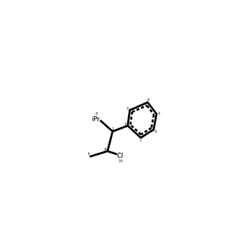 CC(C)C(c1ccccc1)C(C)Cl